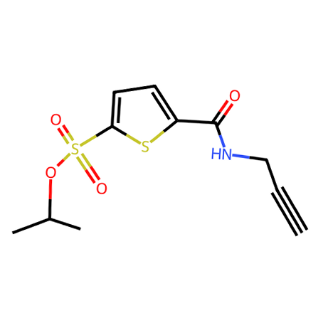 C#CCNC(=O)c1ccc(S(=O)(=O)OC(C)C)s1